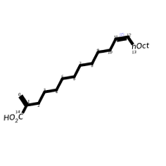 C=C(CCCCCCCCC/C=C\CCCCCCCC)C(=O)O